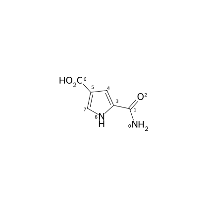 NC(=O)c1cc(C(=O)O)c[nH]1